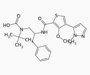 COc1c(-c2ccnn2C)csc1C(=O)NC(Cc1ccccc1)CN(C(=O)O)C(C)(C)C